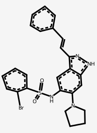 O=S(=O)(Nc1cc2c(C=Cc3ccccc3)n[nH]c2cc1N1CCCC1)c1ccccc1Br